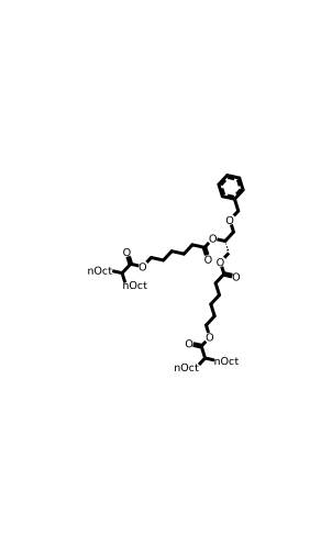 CCCCCCCCC(CCCCCCCC)C(=O)OCCCCCC(=O)OC[C@@H](COCc1ccccc1)OC(=O)CCCCCOC(=O)C(CCCCCCCC)CCCCCCCC